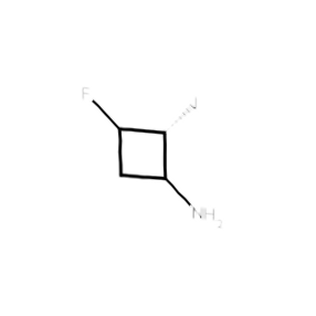 NC1CC(F)[C@@H]1I